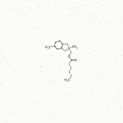 CCCCCC(=O)OCC1(C)Cc2ccc(C)cc2C1